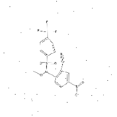 CON(c1ccc([N+](=O)[O-])cc1C#N)S(=O)(=O)c1ccc(C(F)(F)F)cc1